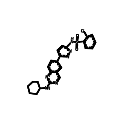 O=S(=O)(Nc1ccc(-c2ccc3nc(NC4CCCCC4)ncc3c2)nn1)c1ccccc1Cl